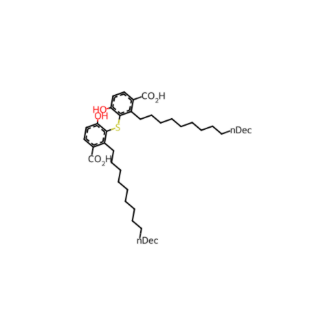 CCCCCCCCCCCCCCCCCCCc1c(C(=O)O)ccc(O)c1Sc1c(O)ccc(C(=O)O)c1CCCCCCCCCCCCCCCCCCC